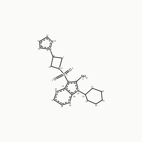 Nc1c(S(=O)(=O)N2CC(n3cccn3)C2)c2nccnc2n1C1CCCCC1